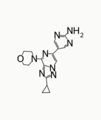 Nc1ncc(-c2cn3nc(C4CC4)nc3c(N3CCOCC3)n2)cn1